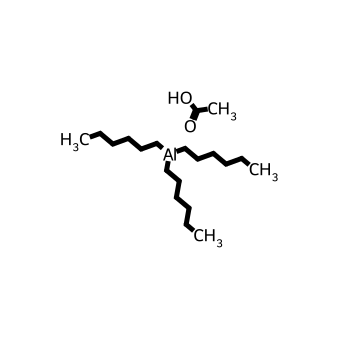 CC(=O)O.CCCCC[CH2][Al]([CH2]CCCCC)[CH2]CCCCC